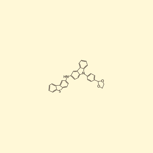 c1ccc2c(c1)sc1ccc(Nc3ccc4c(c3)c3ccccc3n4-c3ccc(C4OCCO4)cc3)cc12